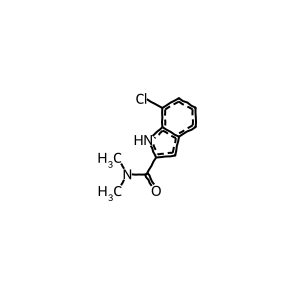 CN(C)C(=O)c1cc2cccc(Cl)c2[nH]1